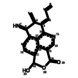 C=C/C=C1\C(=C)C(=N)c2ccc3c4c(cnc1c24)C(=O)OC3O